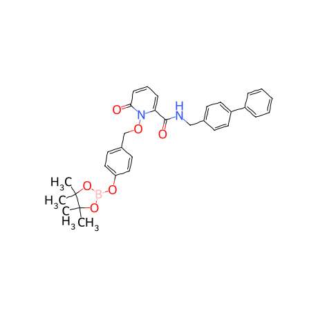 CC1(C)OB(Oc2ccc(COn3c(C(=O)NCc4ccc(-c5ccccc5)cc4)cccc3=O)cc2)OC1(C)C